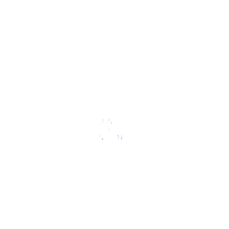 CCCCCC=C1C=CN=C(N2CCCCC2)N1